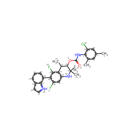 Cc1cc(C)c(NC(=O)OC2C(C)c3c(cc(F)c(-c4cccc5cc[nH]c45)c3F)NC2(C)C)c(Cl)c1